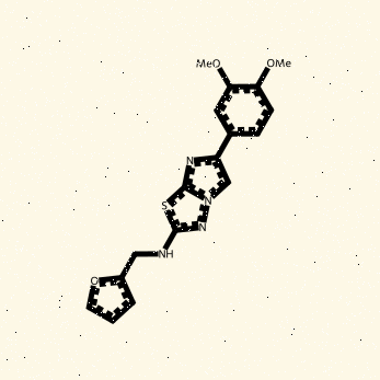 COc1ccc(-c2cn3nc(NCc4ccco4)sc3n2)cc1OC